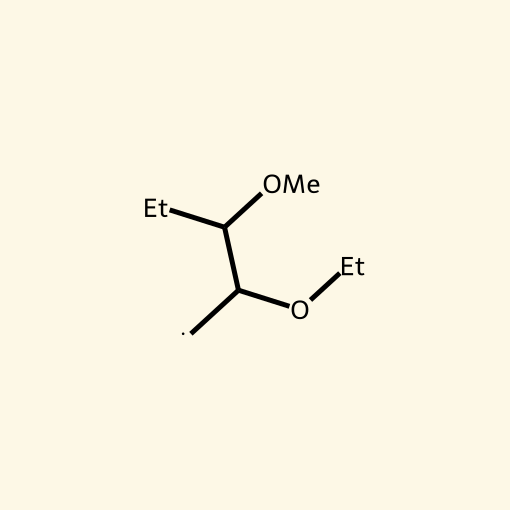 [CH2]C(OCC)C(CC)OC